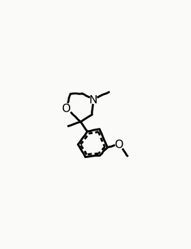 COc1cccc(C2(C)CN(C)CCO2)c1